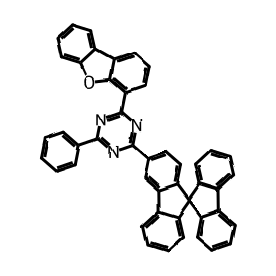 c1ccc(-c2nc(-c3ccc4c(c3)-c3ccccc3C43c4ccccc4-c4ccccc43)nc(-c3cccc4c3oc3ccccc34)n2)cc1